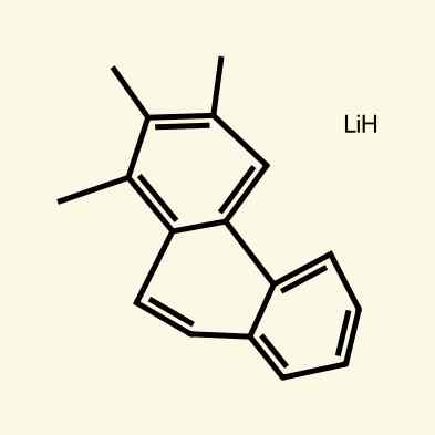 Cc1cc2c(ccc3ccccc32)c(C)c1C.[LiH]